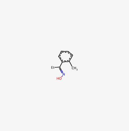 CCC(=NO)c1ccccc1C